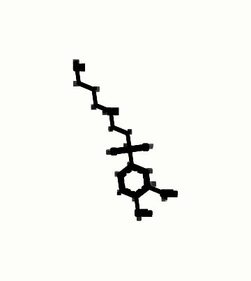 COc1ccc(S(=O)(=O)CCNCCCO)cc1OC